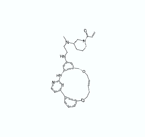 C=CC(=O)N1CCCC(N(C)CCNc2cc3cc(c2)Nc2nccc(n2)-c2cccc(c2)OCC/C=C/COC3)C1